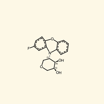 O[C@H]1[C@@H](O)COC[C@@H]1N1c2ccccc2Oc2ccc(F)cc21